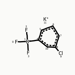 F[B-](F)(F)c1cccc(Cl)c1.[K+]